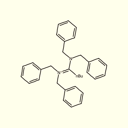 CCCCC(N(Cc1ccccc1)Cc1ccccc1)=[N+](Cc1ccccc1)Cc1ccccc1